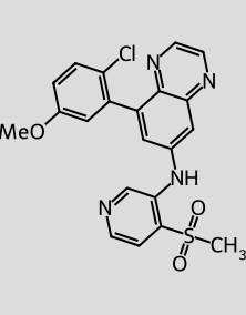 COc1ccc(Cl)c(-c2cc(Nc3cnccc3S(C)(=O)=O)cc3nccnc23)c1